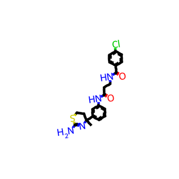 CC1(c2cccc(NC(=O)CCNC(=O)c3ccc(Cl)cc3)c2)CCSC(N)=N1